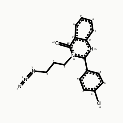 [N-]=[N+]=NCCCn1c(-c2ccc(O)cc2)nc2ccccc2c1=O